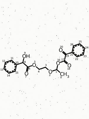 CC(OCCOC(=O)C(O)c1ccccc1)OC(=O)C(=O)c1ccccc1